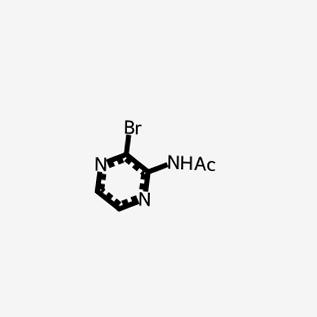 CC(=O)Nc1nccnc1Br